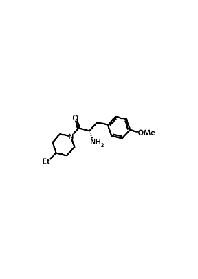 CCC1CCN(C(=O)[C@@H](N)Cc2ccc(OC)cc2)CC1